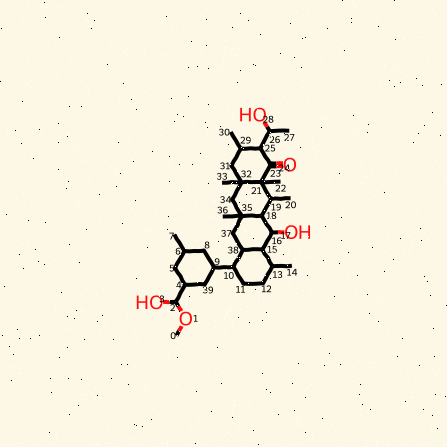 COC(O)C1CC(C)CC(C2CCC(C)C3C(O)C4C(C)C5(C)C(=O)C(C(C)O)C(C)CC5(C)CC4(C)CC23)C1